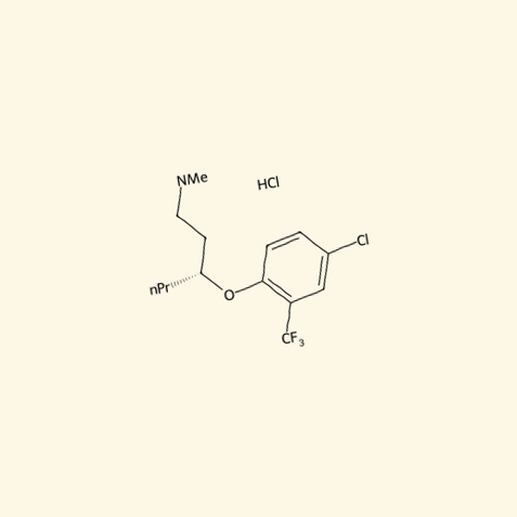 CCC[C@H](CCNC)Oc1ccc(Cl)cc1C(F)(F)F.Cl